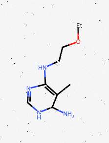 CCOCCNC1=C(C)C(N)NC=N1